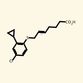 O=C(O)CCC/C=C/CSc1ccc(Cl)cc1C1CC1